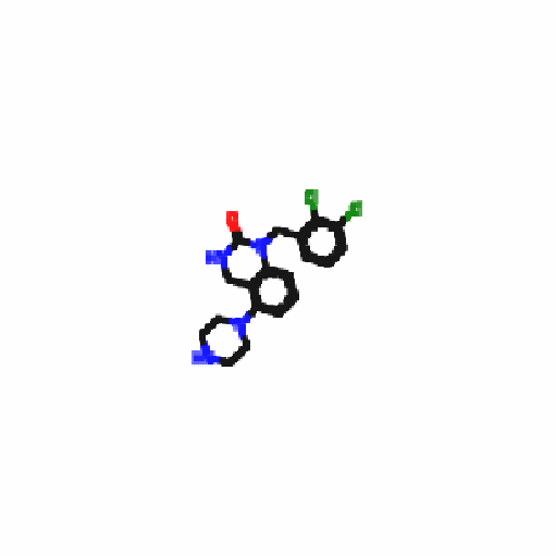 O=C1NCc2c(N3CCNCC3)cccc2N1Cc1cccc(Cl)c1Cl